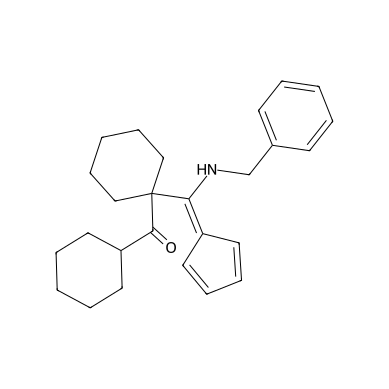 O=C(C1CCCCC1)C1(C(NCc2ccccc2)=C2C=CC=C2)CCCCC1